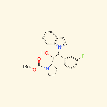 CC(C)(C)OC(=O)N1CCC[C@H]1C(O)C(c1cccc(F)c1)n1ccc2ccccc21